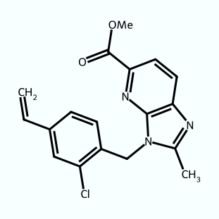 C=Cc1ccc(Cn2c(C)nc3ccc(C(=O)OC)nc32)c(Cl)c1